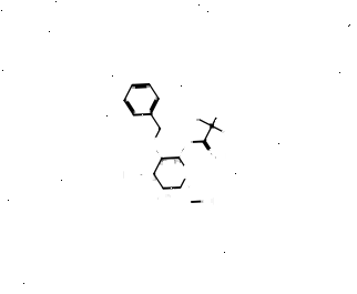 N=C(O[C@H]1O[C@H](CO)[C@H](O)[C@H](O)[C@H]1OCc1ccccc1)C(Cl)(Cl)Cl